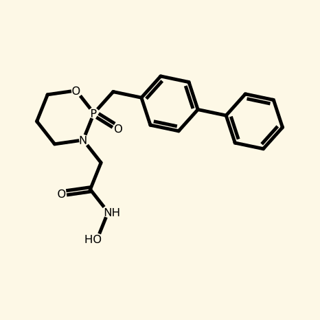 O=C(CN1CCCOP1(=O)Cc1ccc(-c2ccccc2)cc1)NO